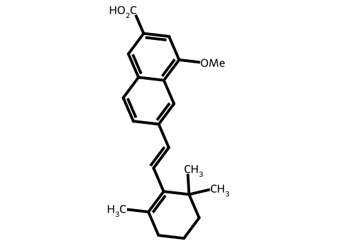 COc1cc(C(=O)O)cc2ccc(/C=C/C3=C(C)CCCC3(C)C)cc12